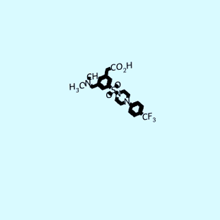 CN(C)Cc1cc(CC(=O)O)cc(S(=O)(=O)N2CCN(c3ccc(C(F)(F)F)cc3)CC2)c1